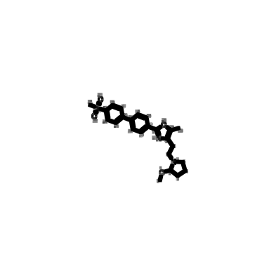 COC1CCCN1CCc1nc(-c2ccc(-c3ccc(S(C)(=O)=O)cc3)cc2)oc1C